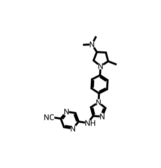 CC1CC(N(C)C)CN1c1ccc(-n2cnc(Nc3cnc(C#N)cn3)c2)cc1